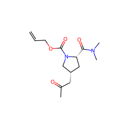 C=CCOC(=O)N1C[C@@H](CC(C)=O)C[C@H]1C(=O)N(C)C